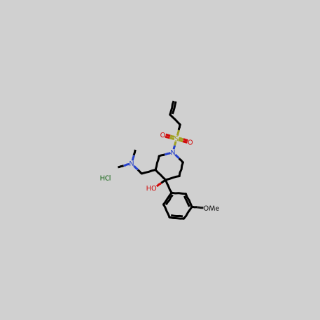 C=CCS(=O)(=O)N1CCC(O)(c2cccc(OC)c2)C(CN(C)C)C1.Cl